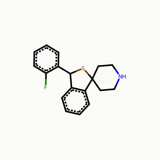 Fc1ccccc1C1SC2(CCNCC2)c2ccccc21